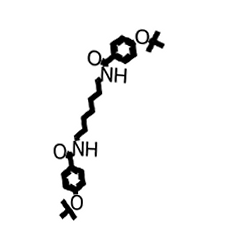 CC(C)(C)Oc1ccc(C(=O)NCCCCCCCNC(=O)c2ccc(OC(C)(C)C)cc2)cc1